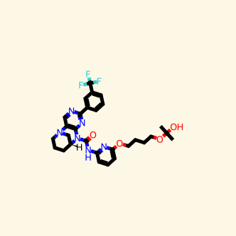 CC(C)(O)OCCCCOc1cccc(NC(=O)N2c3nc(-c4cccc(C(F)(F)F)c4)ncc3N3CCC[C@H]2C3)n1